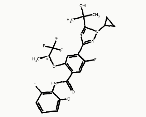 C[C@H](Oc1cc(-c2nc(C(C)(C)O)n(C3CC3)n2)c(F)cc1C(=O)Nc1c(F)cccc1Cl)C(F)(F)F